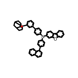 c1cc(-c2ccc(N(c3ccc(-c4cccc5ccccc45)cc3)c3ccc4c(c3)oc3ccccc34)cc2)cc(N2C3CC4CC(C3)CC2C4)c1